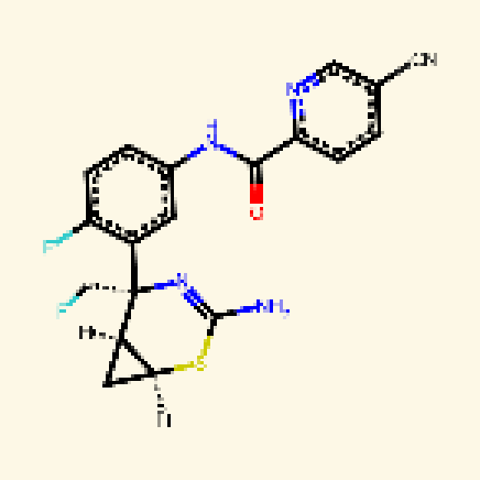 N#Cc1ccc(C(=O)Nc2ccc(F)c([C@@]3(CF)N=C(N)S[C@H]4C[C@H]43)c2)nc1